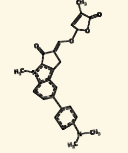 CC1=CC(O/C=C2\Cc3c(n(C)c4ccc(-c5ccc(N(C)C)cc5)cc34)C2=O)OC1=O